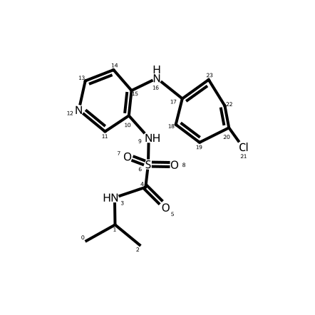 CC(C)NC(=O)S(=O)(=O)Nc1cnccc1Nc1ccc(Cl)cc1